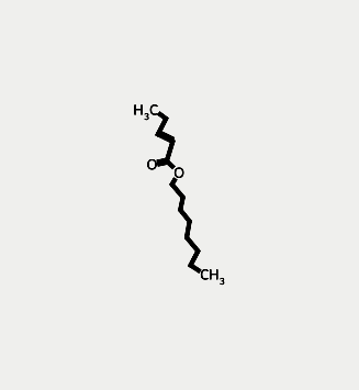 CCC=CC(=O)OCCCCCCCC